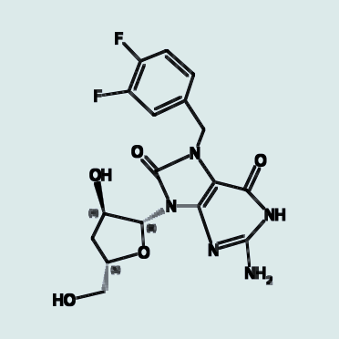 Nc1nc2c(c(=O)[nH]1)n(Cc1ccc(F)c(F)c1)c(=O)n2[C@@H]1O[C@H](CO)C[C@H]1O